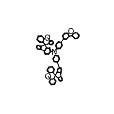 c1ccc2c(c1)Oc1ccccc1C21c2ccccc2-c2ccc(-c3ccc(N(c4ccc(-c5ccc6oc7ccccc7c6c5)cc4)c4ccc5c(c4)C4(c6ccccc6Oc6ccccc64)c4ccccc4-5)cc3)cc21